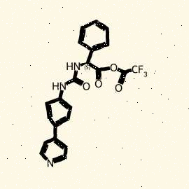 O=C(Nc1ccc(-c2ccncc2)cc1)N[C@H](C(=O)OC(=O)C(F)(F)F)c1ccccc1